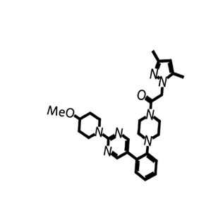 COC1CCN(c2ncc(-c3ccccc3N3CCN(C(=O)Cn4nc(C)cc4C)CC3)cn2)CC1